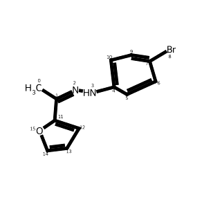 CC(=NNc1ccc(Br)cc1)c1ccco1